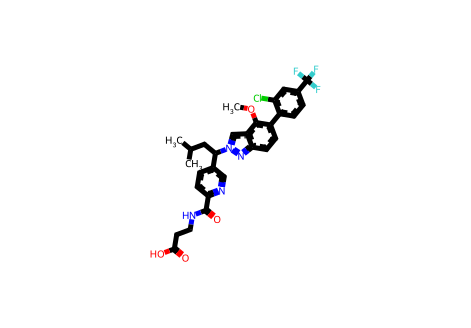 COc1c(-c2ccc(C(F)(F)F)cc2Cl)ccc2nn(C(CC(C)C)c3ccc(C(=O)NCCC(=O)O)nc3)cc12